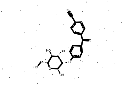 N#Cc1ccc(C(=O)c2ccc(O[C@H]3[C@@H](O)[C@H](O)[C@@H](CO)O[C@@H]3O)cc2)cc1